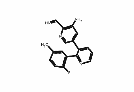 Cc1ccc(F)c(-c2ncccc2-c2cnc(C=N)c(N)c2)c1